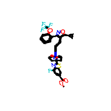 COC(=O)c1cc(F)c2nc(C34CC5CC3C(CN(CCc3c(-c6ccccc6OC(F)(F)F)noc3C3CC3)C5)C4)sc2c1